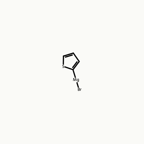 [Br][Mg][c]1cccs1